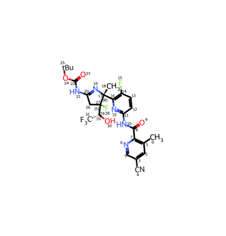 Cc1cc(C#N)cnc1C(=O)Nc1ccc(F)c([C@@]2(C)N=C(NC(=O)OC(C)(C)C)C[C@@]2(F)[C@H](O)C(F)(F)F)n1